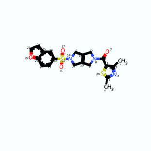 Cc1nc(C)c(C(=O)N2CC3=C(C2)CN(S(=O)(=O)c2ccc4occc4c2)C3)s1